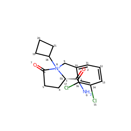 NC(=O)[C@@H]1CCC(=O)[N+]1(Cc1cccc(Cl)c1Cl)C1CCC1